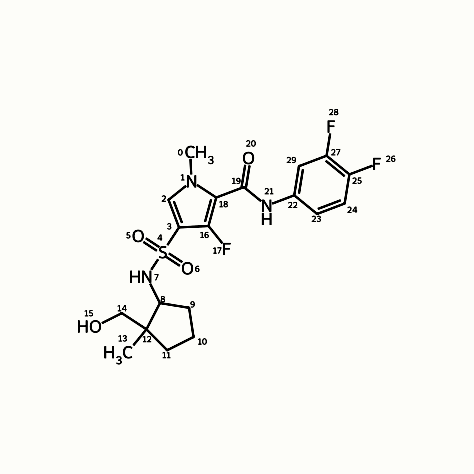 Cn1cc(S(=O)(=O)NC2CCCC2(C)CO)c(F)c1C(=O)Nc1ccc(F)c(F)c1